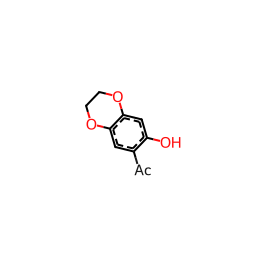 CC(=O)c1cc2c(cc1O)OCCO2